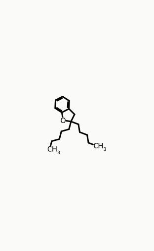 CCCCCC1(CCCCC)Cc2ccccc2O1